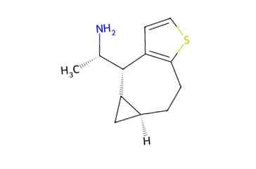 C[C@H](N)[C@@H]1c2ccsc2CC[C@H]2CC21